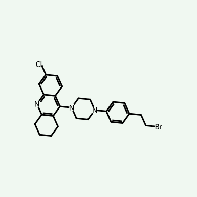 Clc1ccc2c(N3CCN(c4ccc(CCBr)cc4)CC3)c3c(nc2c1)CCCC3